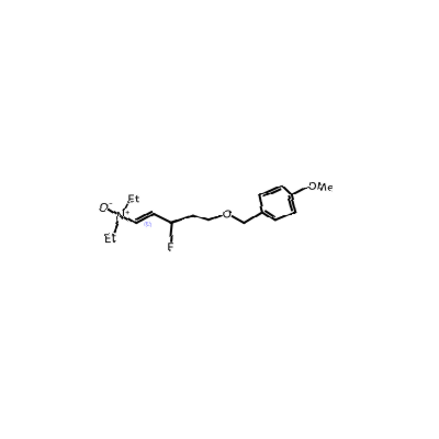 CC[N+]([O-])(/C=C/C(F)CCOCc1ccc(OC)cc1)CC